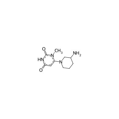 Cn1c(N2CCCC(N)C2)cc(=O)[nH]c1=O